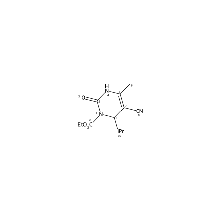 CCOC(=O)N1C(=O)NC(C)=C(C#N)C1C(C)C